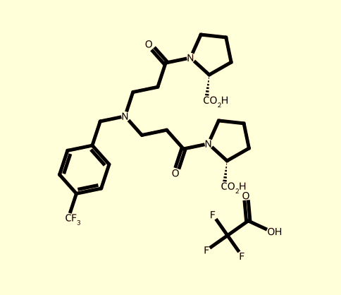 O=C(O)C(F)(F)F.O=C(O)[C@H]1CCCN1C(=O)CCN(CCC(=O)N1CCC[C@@H]1C(=O)O)Cc1ccc(C(F)(F)F)cc1